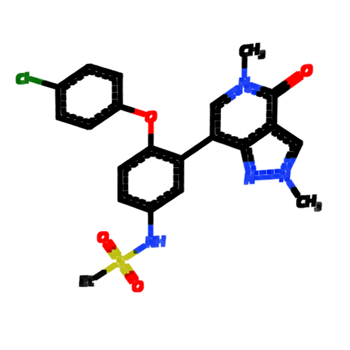 CCS(=O)(=O)Nc1ccc(Oc2ccc(Cl)cc2)c(-c2cn(C)c(=O)c3cn(C)nc23)c1